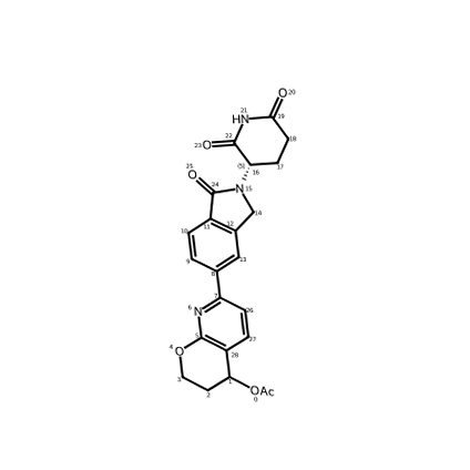 CC(=O)OC1CCOc2nc(-c3ccc4c(c3)CN([C@H]3CCC(=O)NC3=O)C4=O)ccc21